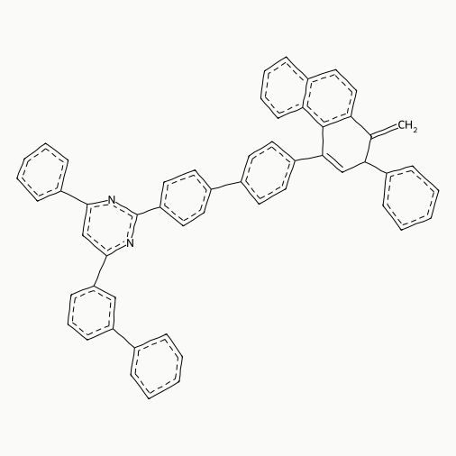 C=C1c2ccc3ccccc3c2C(c2ccc(-c3ccc(-c4nc(-c5ccccc5)cc(-c5cccc(-c6ccccc6)c5)n4)cc3)cc2)=CC1c1ccccc1